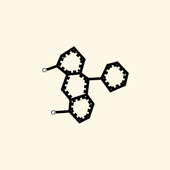 Clc1cccc2c(-c3ccccc3)c3cccc(Cl)c3cc12